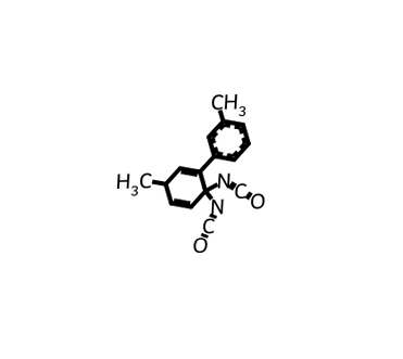 Cc1cccc(C2=CC(C)C=CC2(N=C=O)N=C=O)c1